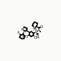 CN(C(=O)c1ccccn1)S(=O)(=O)c1cc(-c2ccnn2-c2ccccc2F)c(O)cc1O